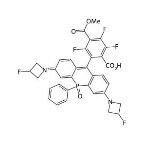 COC(=O)c1c(F)c(F)c(C(=O)O)c(C2=C3C=CC(=[N+]4CC(F)C4)C=C3P(=O)(c3ccccc3)c3cc(N4CC(F)C4)ccc32)c1F